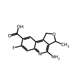 CC1OCc2c1c(N)nc1cc(F)c(C(=O)O)cc21